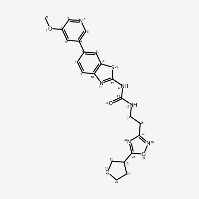 COc1cncc(-c2ccc3nc(NC(=O)NCCc4noc(C5CCOC5)n4)sc3c2)c1